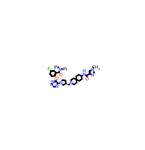 CC(C)N(C(=O)c1cc(F)ccc1Oc1nncnc1N1CC[C@@H](CN2CCC3(CCC(NC(=O)c4cn(C)cn4)CC3)CC2)C1)C(C)C